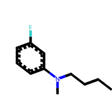 CCCCN(C)c1cccc(F)c1